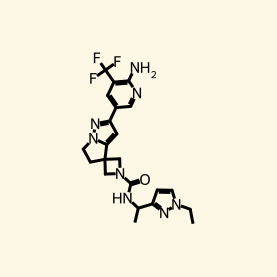 CCn1ccc(C(C)NC(=O)N2CC3(CCn4nc(-c5cnc(N)c(C(F)(F)F)c5)cc43)C2)n1